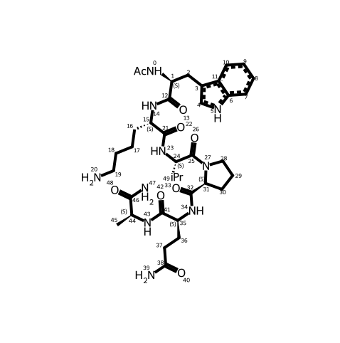 CC(=O)N[C@@H](Cc1c[nH]c2ccccc12)C(=O)N[C@@H](CCCCN)C(=O)N[C@H](C(=O)N1CCC[C@H]1C(=O)N[C@@H](CCC(N)=O)C(=O)N[C@@H](C)C(N)=O)C(C)C